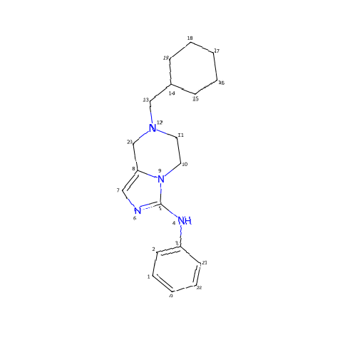 c1ccc(Nc2ncc3n2CCN(CC2CCCCC2)C3)cc1